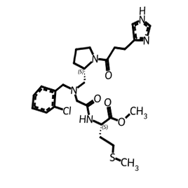 COC(=O)[C@H](CCSC)NC(=O)CN(Cc1ccccc1Cl)C[C@@H]1CCCN1C(=O)CCc1c[nH]cn1